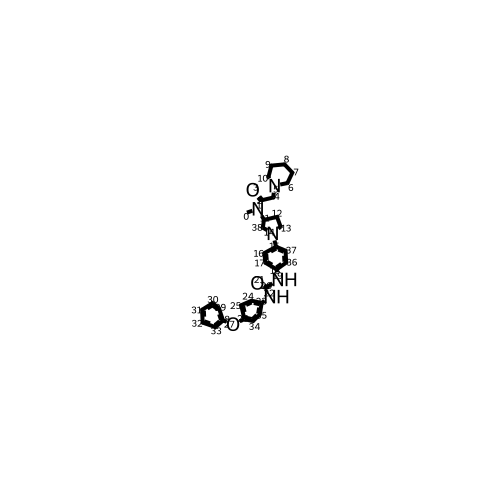 CN(C(=O)CN1CCCCC1)C1CCN(c2ccc(NC(=O)Nc3ccc(Oc4ccccc4)cc3)cc2)C1